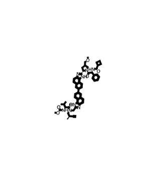 C#C[C@@H](C)CN(Cc1nc2ccc3cc(-c4ccc5c(ccc6nc([C@@H]7CC(COC)CN7C(=O)[C@H](NC(=O)C7CCC7)c7ccccc7)[nH]c65)c4)ccc3c2[nH]1)C(=O)[C@@H](NC(=O)OC)C(C)C